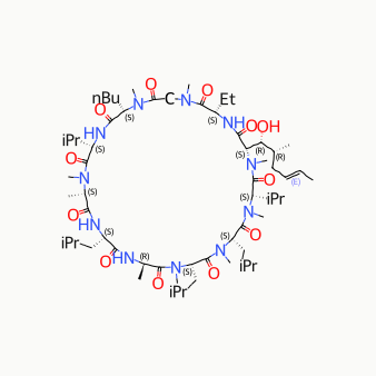 C/C=C/C[C@@H](C)[C@@H](O)[C@H]1C(=O)N[C@@H](CC)C(=O)N(C)CC(=O)N(C)[C@@H](CCCC)C(=O)N[C@@H](C(C)C)C(=O)N(C)[C@@H](C)C(=O)N[C@@H](CC(C)C)C(=O)N[C@H](C)C(=O)N(C)[C@@H](CC(C)C)C(=O)N(C)[C@@H](CC(C)C)C(=O)N(C)[C@@H](C(C)C)C(=O)N1C